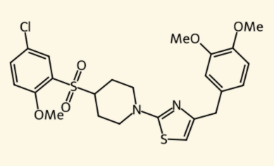 COc1ccc(Cc2csc(N3CCC(S(=O)(=O)c4cc(Cl)ccc4OC)CC3)n2)cc1OC